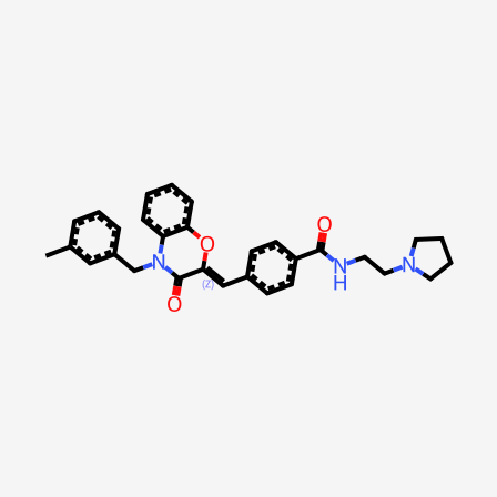 Cc1cccc(CN2C(=O)/C(=C/c3ccc(C(=O)NCCN4CCCC4)cc3)Oc3ccccc32)c1